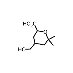 CC1(C)CC(CO)CC(C(=O)O)O1